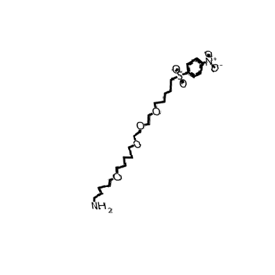 NCCCCCOCCCCCOCCOCCOCCCCCS(=O)(=O)c1ccc([N+](=O)[O-])cc1